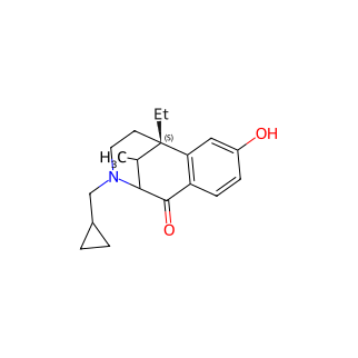 CC[C@@]12CCN(CC3CC3)C(C(=O)c3ccc(O)cc31)C2C